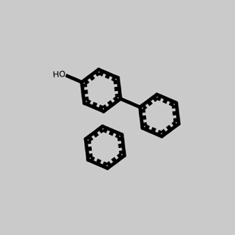 Oc1ccc(-c2ccccc2)cc1.c1ccccc1